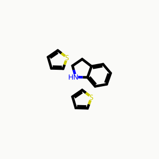 c1ccc2c(c1)CCN2.c1ccsc1.c1ccsc1